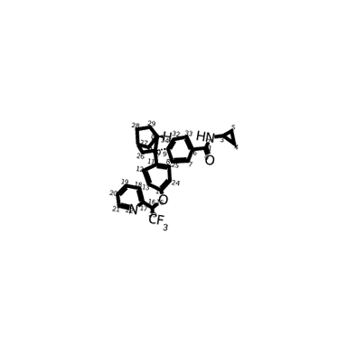 O=C(NC1CC1)c1ccc([C@]2(c3ccc(OC(c4ccccn4)C(F)(F)F)cc3)CC3CC[C@H]2C3)cc1